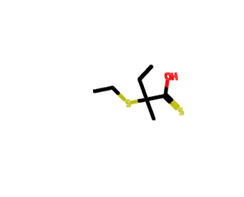 CCSC(C)(CC)C(O)=S